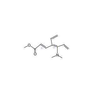 C=CC(/C=C/C(=O)OC)=C(\C=C)N(C)C